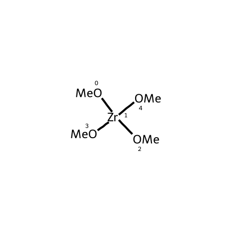 C[O][Zr]([O]C)([O]C)[O]C